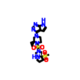 CN(C[C@]1(S(C)(=O)=O)CCCN1)S(=O)(=O)N1CCN(c2ncnc3[nH]ccc23)CC12CC2